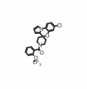 O=C(c1ccccc1OC(F)(F)F)N1CCC2(CC1)Oc1cc(Cl)ccc1-n1cccc12